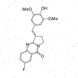 COc1cc(/C=C2\CCn3c2nc2ccc(F)cc2c3=O)cc(OC)c1O